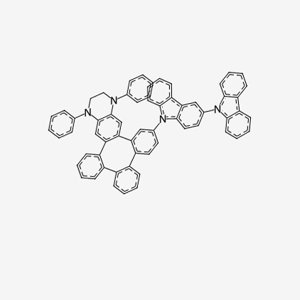 c1ccc(N2CCN(c3ccccc3)c3cc4c(cc32)-c2ccccc2-c2ccccc2-c2ccc(-n3c5ccccc5c5cc(-n6c7ccccc7c7ccccc76)ccc53)cc2-4)cc1